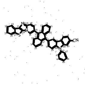 N#Cc1ccc2c3cc(-c4c5ccccc5c(-c5ccc6nc7c8ccccc8sc7n6c5)c5ccccc45)ccc3n(-c3ccccc3)c2c1